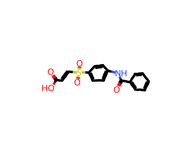 O=C(O)/C=C/S(=O)(=O)c1ccc(NC(=O)c2ccccc2)cc1